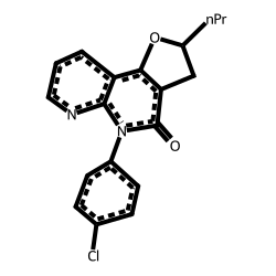 CCCC1Cc2c(c3cccnc3n(-c3ccc(Cl)cc3)c2=O)O1